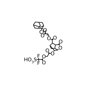 CC1(OC(=O)COC(=O)C2C3CC4C(OC(=O)C42)C3OC(=O)COC(=O)C(F)(F)S(=O)(=O)O)C2CC3CC(C2)CC1C3